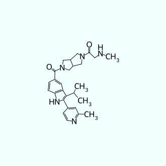 CNCC(=O)N1CC2CN(C(=O)c3ccc4[nH]c(-c5ccnc(C)c5)c(C(C)C)c4c3)CC2C1